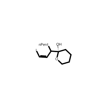 CCCCCC(/C=C\I)[C@@]1(O)CCCCO1